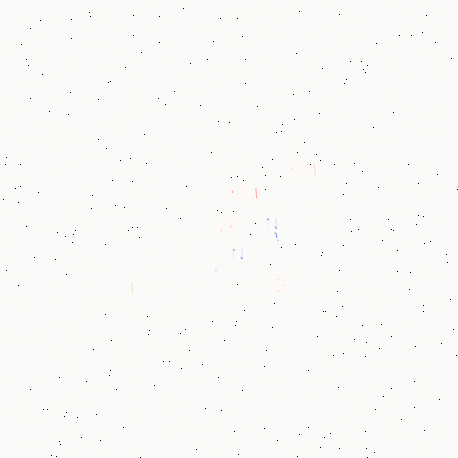 CC(C)(C)[C@@H](C(=O)N1CC=C[C@]1(c1ccccc1)c1cc(F)ccc1F)N(CCO)C(=O)O